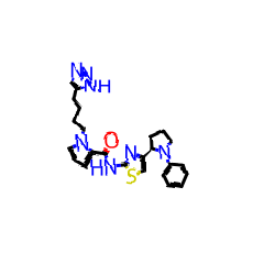 O=C(Nc1nc([C@H]2CCCN2c2ccccc2)cs1)c1cccn1CCCCc1cnn[nH]1